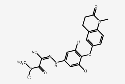 CCN(C(=O)O)C(=O)C(C#N)=NNc1cc(Cl)c(Oc2ccc3c(c2)CCC(=O)N3C)c(Cl)c1